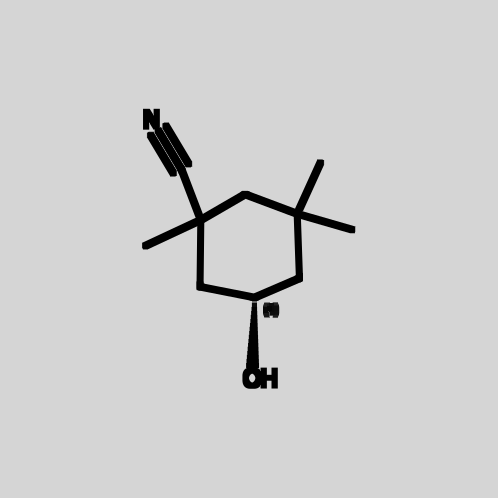 CC1(C)C[C@H](O)CC(C)(C#N)C1